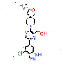 C[C@H]1CC2(CCN(c3ncc(-c4cc(Cl)c5cn[nH]c5c4)nc3CO)CC2)CO1